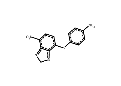 O=[N+]([O-])c1ccc(Sc2ccc([N+](=O)[O-])c3c2=NCN=3)cc1